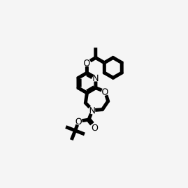 CC(Oc1ccc2c(n1)OCCN(C(=O)OC(C)(C)C)C2)C1CCCCC1